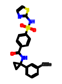 COc1cccc(C2(NC(=O)c3ccc(S(=O)(=O)Nc4nccs4)cc3)CC2)c1